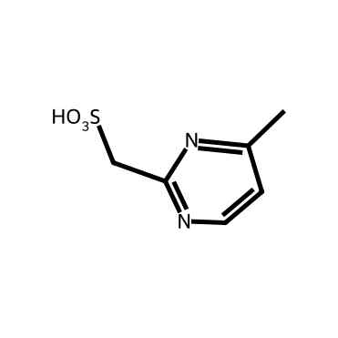 Cc1ccnc(CS(=O)(=O)O)n1